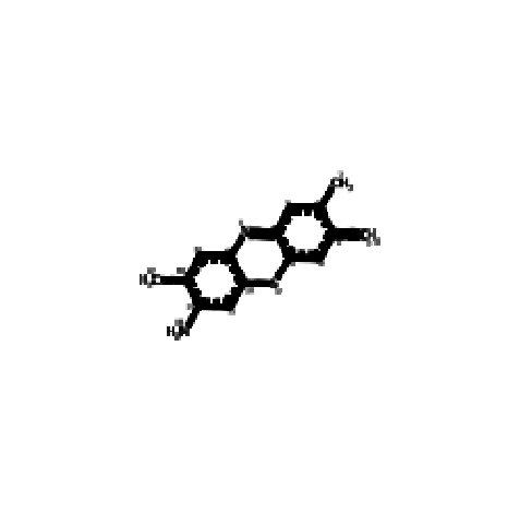 C=c1cc2c(cc1C)=Nc1cc(C)c(N)cc1S2